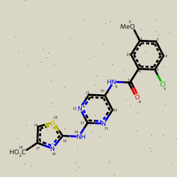 COc1ccc(Cl)c(C(=O)Nc2cnc(Nc3nc(C(=O)O)cs3)nc2)c1